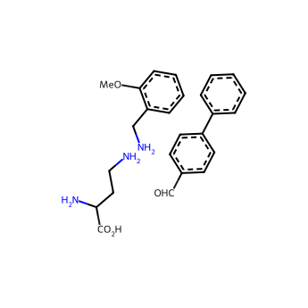 COc1ccccc1CN.NCCC(N)C(=O)O.O=Cc1ccc(-c2ccccc2)cc1